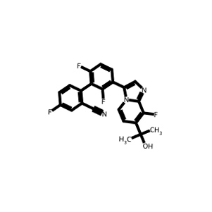 CC(C)(O)c1ccn2c(-c3ccc(F)c(-c4ccc(F)cc4C#N)c3F)cnc2c1F